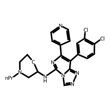 CCCN1CCCC(Nc2nc(-c3ccncc3)c(-c3ccc(Cl)c(Cl)c3)c3nncn23)C1